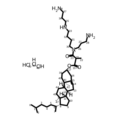 CC(C)CCCC(C)[C@H]1CC[C@H]2[C@@H]3CC=C4C[C@@H](OC(=O)C(C)C(=O)N(CCCN)CCCCNCCCN)CC[C@]4(C)[C@H]3CC[C@]12C.Cl.Cl.Cl